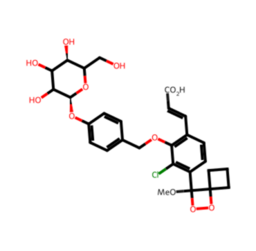 COC1(c2ccc(/C=C/C(=O)O)c(OCc3ccc(O[C@@H]4OC(CO)[C@H](O)C(O)C4O)cc3)c2Cl)OOC12CCC2